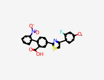 COc1ccc(-c2csc(-c3ccc(-c4ccccc4[N+](=O)[O-])c(C(=O)O)c3)n2)c(F)c1